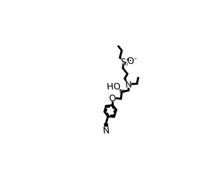 CCC[S@+]([O-])CCCN(CC)C[C@@H](O)COc1ccc(C#N)cc1